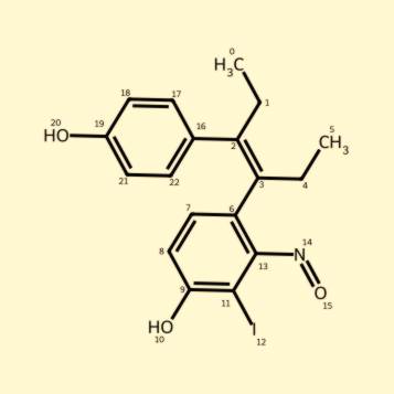 CCC(=C(CC)c1ccc(O)c(I)c1N=O)c1ccc(O)cc1